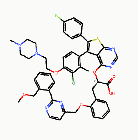 COCc1ccccc1-c1nccc(COc2ccccc2C[C@@H](Oc2ncnc3sc(-c4ccc(F)cc4)c(-c4ccc(OCCN5CCN(C)CC5)c(Cl)c4C)c23)C(=O)O)n1